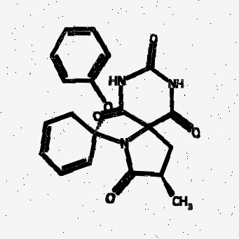 C[C@@H]1CC2(C(=O)NC(=O)NC2=O)N([C@@]2(Oc3ccccc3)C=CC=CC2)C1=O